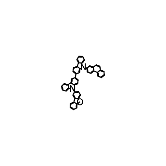 c1ccc2c(c1)ccc1cc(-n3c4ccccc4c4ccc(-c5ccc6c(c5)c5ccccc5n6-c5ccc6oc7ccccc7c6c5)cc43)ccc12